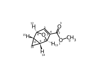 COC(=O)C1=C[C@H]2O[C@@H]1[C@@H]1C[C@@H]12